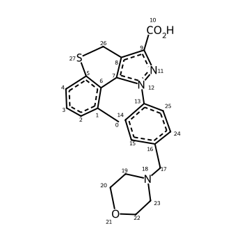 Cc1cccc2c1-c1c(c(C(=O)O)nn1-c1ccc(CN3CCOCC3)cc1)CS2